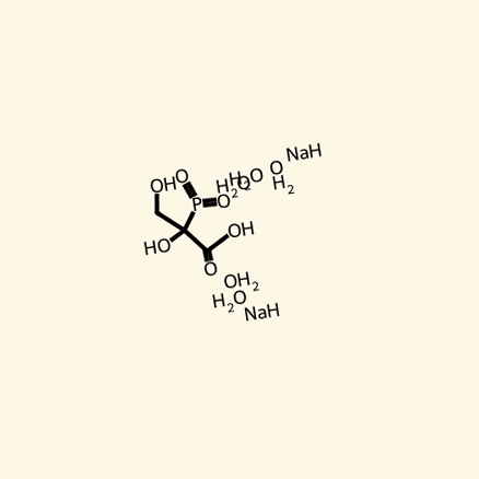 O.O.O.O.O.O=C(O)C(O)(CO)P(=O)=O.[NaH].[NaH]